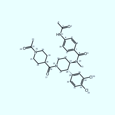 CC(=O)Nc1ccc(C(=O)N(C)[C@@H]2CCN(C(=O)C3CCN(C(C)=O)CC3)C[C@H]2c2ccc(Cl)c(Cl)c2)cc1